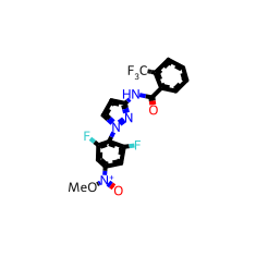 CO[N+](=O)c1cc(F)c(-n2ccc(NC(=O)c3ccccc3C(F)(F)F)n2)c(F)c1